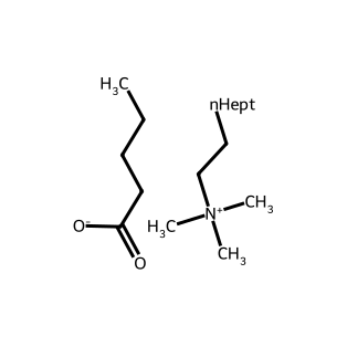 CCCCC(=O)[O-].CCCCCCCCC[N+](C)(C)C